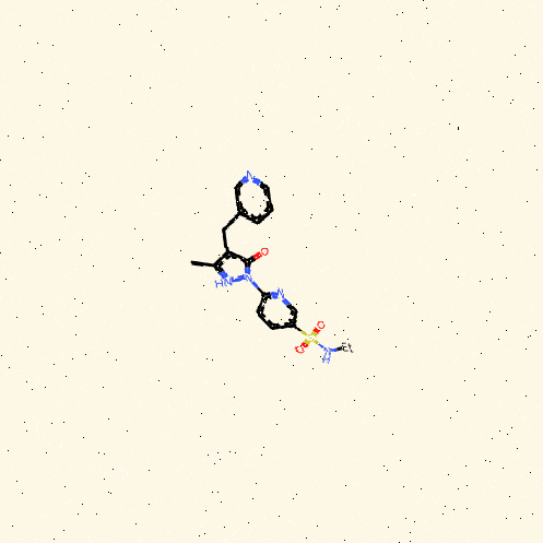 CCNS(=O)(=O)c1ccc(-n2[nH]c(C)c(Cc3cccnc3)c2=O)nc1